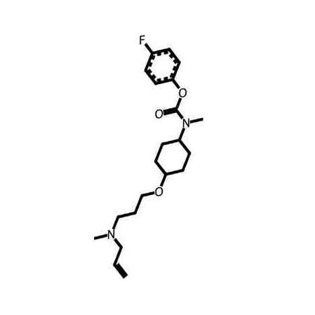 C=CCN(C)CCCOC1CCC(N(C)C(=O)Oc2ccc(F)cc2)CC1